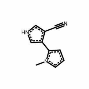 Cn1cccc1-c1c[nH]cc1C#N